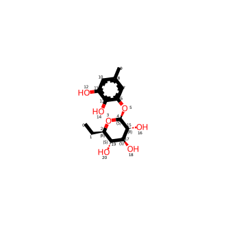 CC[C@H]1O[C@@H](Oc2cc(C)cc(O)c2O)[C@H](O)[C@@H](O)[C@@H]1O